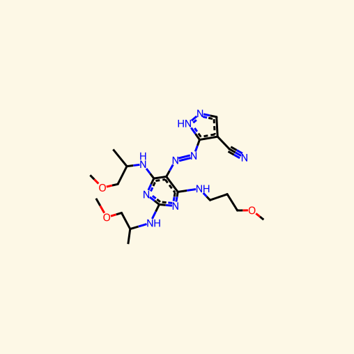 COCCCNc1nc(NC(C)COC)nc(NC(C)COC)c1N=Nc1[nH]ncc1C#N